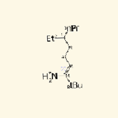 CCCC(CC)CC/C=C(\N)C(C)(C)C